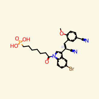 COc1ccc(C#N)cc1/C=C(\C#N)c1cn(C(=O)CCCCCCP(=O)(O)O)c2ccc(Br)cc12